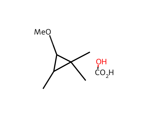 COC1C(C)C1(C)C.O=C(O)O